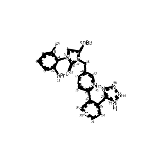 CCCCc1cn(-c2c(F)cccc2CCC)c(=O)n1Cc1ccc(-c2ccccc2-c2nnn[nH]2)nc1